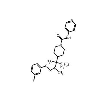 CN(SOc1cccc(F)c1)C(C)(C)C1CCN(C(=O)Nc2ccncc2)CC1.S